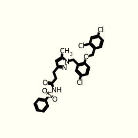 Cc1cc(CCC(=O)NS(=O)(=O)c2ccccc2)nn1Cc1cc(Cl)ccc1OCc1ccc(Cl)cc1Cl